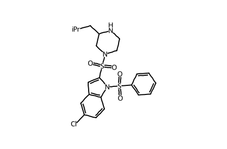 CC(C)CC1CN(S(=O)(=O)c2cc3cc(Cl)ccc3n2S(=O)(=O)c2ccccc2)CCN1